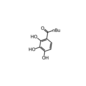 CCCCC(=O)c1ccc(O)c(O)c1O